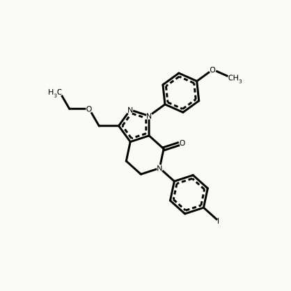 CCOCc1nn(-c2ccc(OC)cc2)c2c1CCN(c1ccc(I)cc1)C2=O